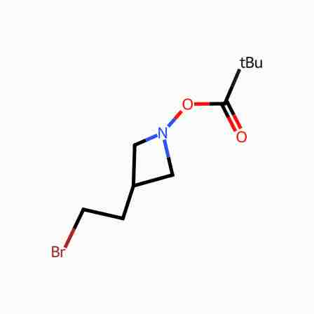 CC(C)(C)C(=O)ON1CC(CCBr)C1